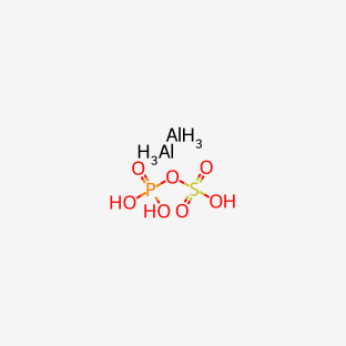 O=P(O)(O)OS(=O)(=O)O.[AlH3].[AlH3]